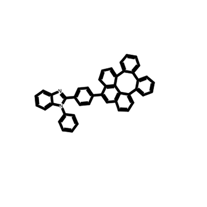 c1ccc(-n2c(-c3ccc(-c4cc5cccc6c7ccccc7c7ccccc7c7cccc4c7c56)cc3)nc3ccccc32)cc1